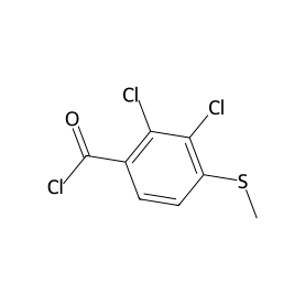 CSc1ccc(C(=O)Cl)c(Cl)c1Cl